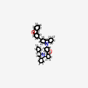 C=C1c2ccccc2C(c2cccc3oc4cc(-n5c6ccccc6c6cc(-c7ccc8oc9ccccc9c8c7)ccc65)ccc4c23)=NC1c1ccccc1